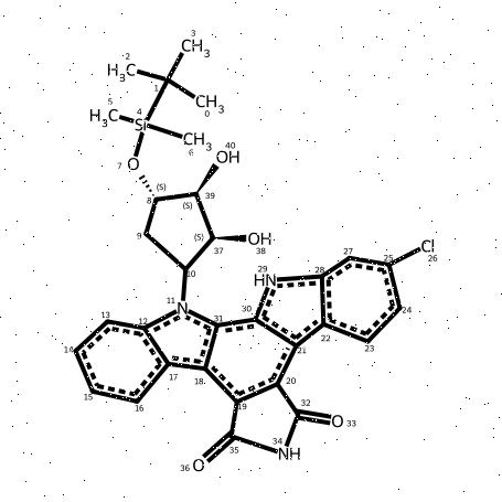 CC(C)(C)[Si](C)(C)O[C@H]1CC(n2c3ccccc3c3c4c(c5c6ccc(Cl)cc6[nH]c5c32)C(=O)NC4=O)[C@H](O)[C@@H]1O